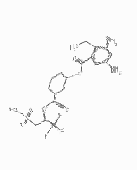 BCc1c(B)cc(B)cc1C(=O)OC1CCCC(C(=O)OC(CS(=O)(=O)O)C(F)(F)F)C1